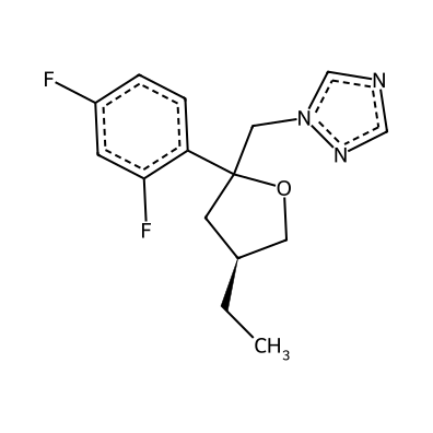 CC[C@@H]1COC(Cn2cncn2)(c2ccc(F)cc2F)C1